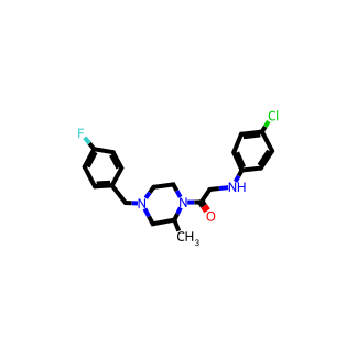 CC1CN(Cc2ccc(F)cc2)CCN1C(=O)CNc1ccc(Cl)cc1